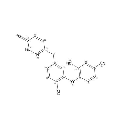 N#Cc1ccc(Oc2cc(Cc3ccc(=O)[nH]n3)ccc2Cl)c(C#N)c1